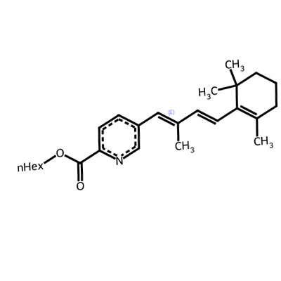 CCCCCCOC(=O)c1ccc(/C=C(\C)C=CC2=C(C)CCCC2(C)C)cn1